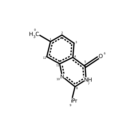 Cc1ccc2c(=O)[nH]c(C(C)C)nc2c1